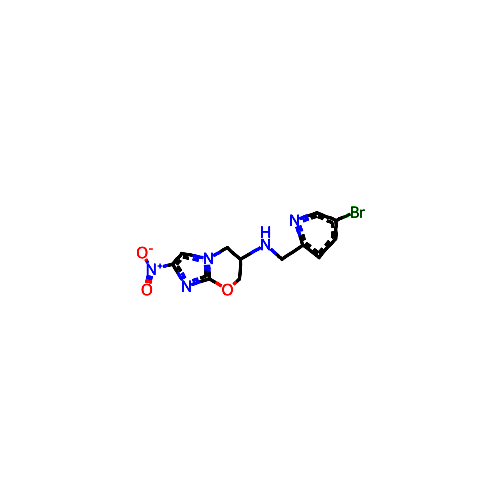 O=[N+]([O-])c1cn2c(n1)OCC(NCc1ccc(Br)cn1)C2